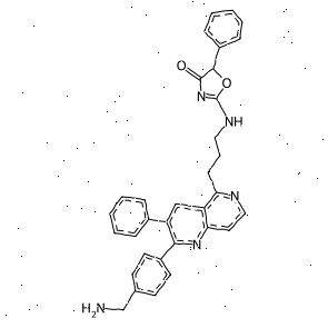 NCc1ccc(-c2nc3ccnc(CCCNC4=NC(=O)C(c5ccccc5)O4)c3cc2-c2ccccc2)cc1